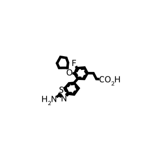 Nc1nc2ccc(-c3cc(CCC(=O)O)cc(F)c3OC3CCCCC3)cc2s1